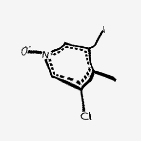 Cc1c(Cl)c[n+]([O-])cc1I